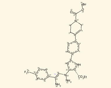 CCOC(=O)c1[nH]c(-c2ccc(C3=CCN(C(=O)OC(C)(C)C)CC3)cc2)cc1N(N)/C=C(\N)c1ccc(C(F)(F)F)cc1